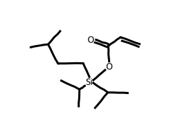 C=CC(=O)O[Si](CCC(C)C)(C(C)C)C(C)C